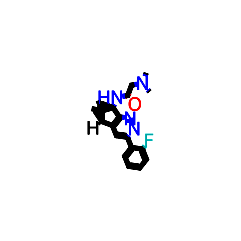 CN(C)CC(=O)NC12CC[C@@H](c3cc(-c4ccccc4F)nnc31)C2(C)C